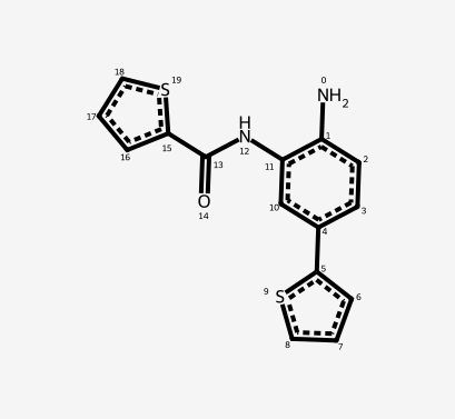 Nc1ccc(-c2cccs2)cc1NC(=O)c1cccs1